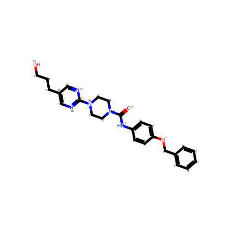 O=C(Nc1ccc(OCc2ccccc2)cc1)N1CCN(c2ncc(CCCO)cn2)CC1